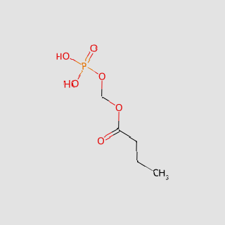 CCCC(=O)OCOP(=O)(O)O